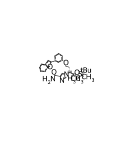 C[C@H](O[Si](C)(C)C(C)(C)C)[C@@H](CCOc1cccc(-c2cc3ccccc3o2)c1)n1cnc(C(N)=O)c1